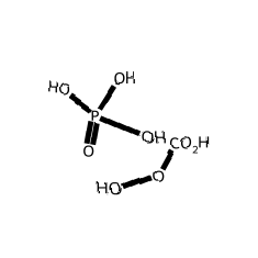 O=C(O)OO.O=P(O)(O)O